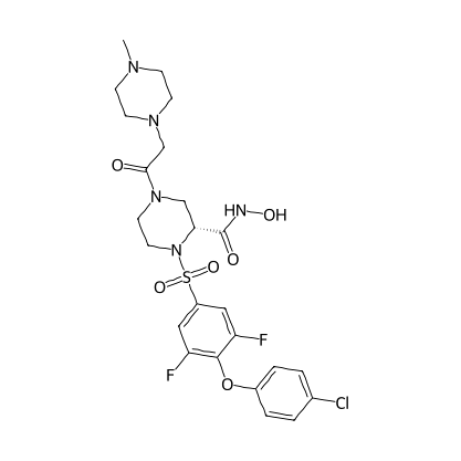 CN1CCN(CC(=O)N2CCN(S(=O)(=O)c3cc(F)c(Oc4ccc(Cl)cc4)c(F)c3)[C@@H](C(=O)NO)C2)CC1